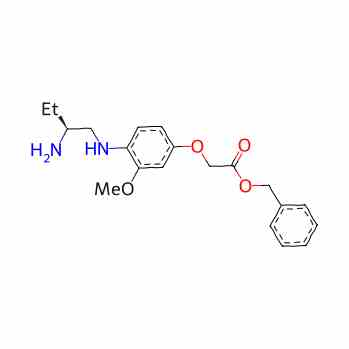 CC[C@H](N)CNc1ccc(OCC(=O)OCc2ccccc2)cc1OC